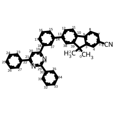 CC1(C)c2cc(C#N)ccc2-c2ccc(-c3cccc(-c4cc(-c5ccccc5)nc(-c5ccccc5)n4)c3)cc21